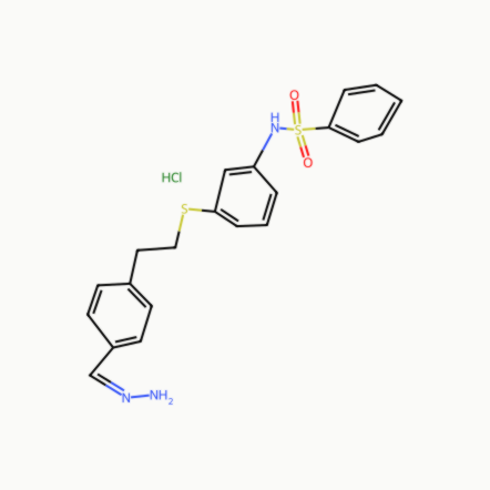 Cl.N/N=C\c1ccc(CCSc2cccc(NS(=O)(=O)c3ccccc3)c2)cc1